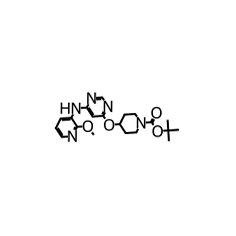 COc1ncccc1Nc1cc(OC2CCN(C(=O)OC(C)(C)C)CC2)ncn1